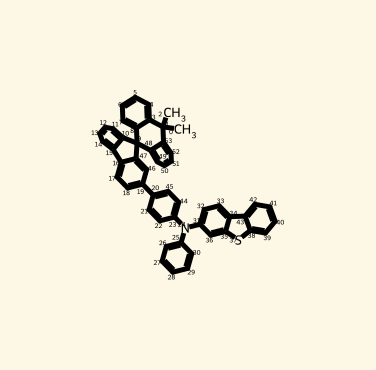 CC1(C)c2ccccc2C2(c3ccccc3-c3ccc(-c4ccc(N(c5ccccc5)c5ccc6c(c5)sc5ccccc56)cc4)cc32)c2ccccc21